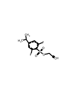 C#CCOS(=O)(=O)c1c(F)cc(C(C)C)cc1F